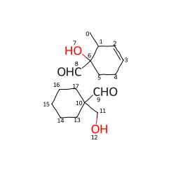 CC1C=CCCC1(O)C=O.O=CC1(CO)CCCCC1